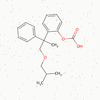 CC(C)COCC(C)(c1ccccc1)c1ccccc1OC(=O)O